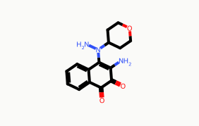 NC1=C(N(N)C2CCOCC2)c2ccccc2C(=O)C1=O